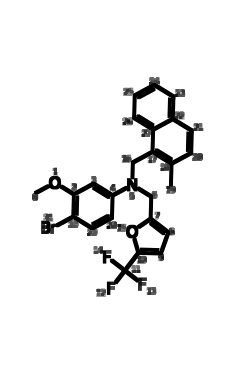 COc1cc(N(Cc2ccc(C(F)(F)F)o2)Cc2c(C)ccc3ccccc23)ccc1Br